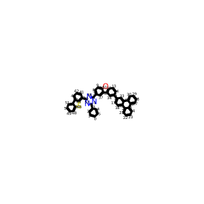 c1ccc(-c2nc(-c3ccc4oc5ccc(-c6ccc7c8ccccc8c8ccccc8c7c6)cc5c4c3)nc(-c3cccc4c3sc3ccccc34)n2)cc1